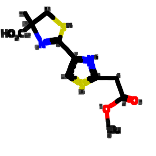 CC(C)(C)OC(=O)Cc1nc(C2=NC(C)(C(=O)O)CS2)cs1